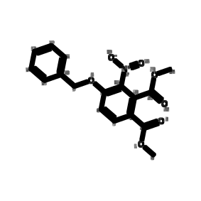 COC(=O)c1ccc(OCc2ccccc2)c([N+](=O)[O-])c1C(=O)OC